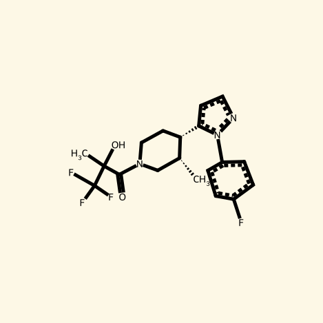 C[C@@H]1CN(C(=O)C(C)(O)C(F)(F)F)CC[C@@H]1c1ccnn1-c1ccc(F)cc1